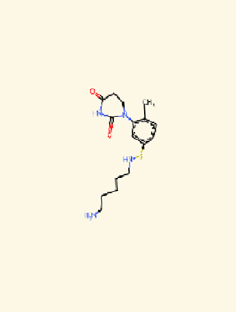 Cc1ccc(SNCCCCCN)cc1N1CCC(=O)NC1=O